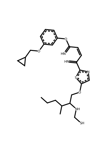 CCCC(C)C(COc1cnc(C(=N)/C=C\C(=N)Oc2cccc(OCC3CC3)c2)s1)NCS